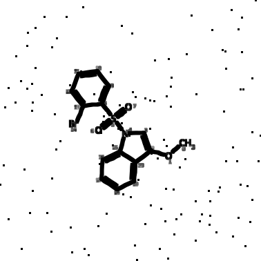 COc1cn(S(=O)(=O)c2ccccc2Br)c2ccccc12